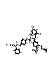 O=C(Cc1ccc(CNC(C(=O)O)c2ccccc2)cc1)O[C@@H](Cc1c(Cl)c[n+]([O-])cc1Cl)c1ccc(OC(F)F)c(OCC2CC2)c1